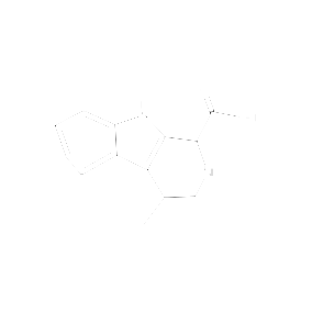 CC1CNC(C(=O)O)c2[nH]c3ccccc3c21